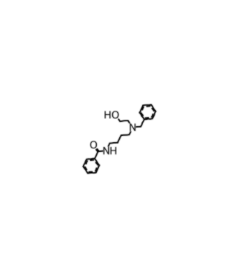 O=C(NCCCCN(CCO)Cc1ccccc1)c1ccccc1